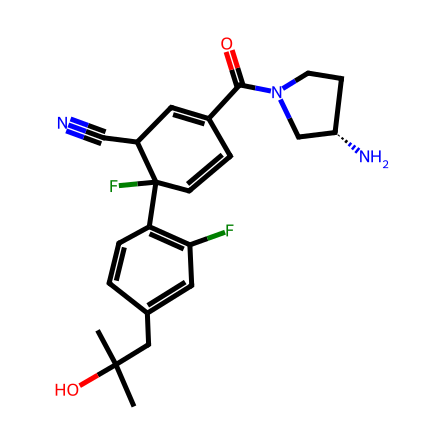 CC(C)(O)Cc1ccc(C2(F)C=CC(C(=O)N3CC[C@H](N)C3)=CC2C#N)c(F)c1